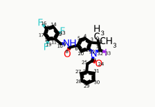 CC1(C)c2ccc(C(=O)NCc3c(F)cc(F)cc3F)cc2N(C(=O)Cc2ccccc2)C1I